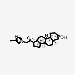 Cc1cn(CC(=O)C2CC[C@H]3[C@@H]4CC[C@@H]5C[C@](C)(O)CC[C@]5(C)[C@H]4CC[C@]23C)cn1